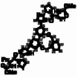 COC(=O)N[C@H](C(=O)N1CCC[C@H]1c1ncc(-c2ccc3c(c2)OCc2ccccc2COc2cc(-c4cnc([C@@H]5CCCN5C(=O)[C@@H](NC(=O)OC)C(C)C)[nH]4)ccc2-3)[nH]1)C(C)C